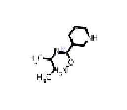 CCC(C)/N=C(\ON)C1CCCNC1